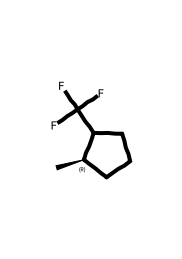 C[C@@H]1CCCC1C(F)(F)F